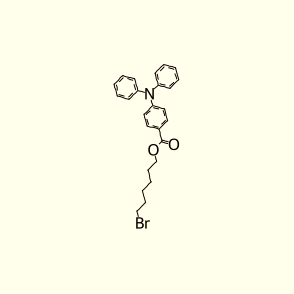 O=C(OCCCCCCBr)c1ccc(N(c2ccccc2)c2ccccc2)cc1